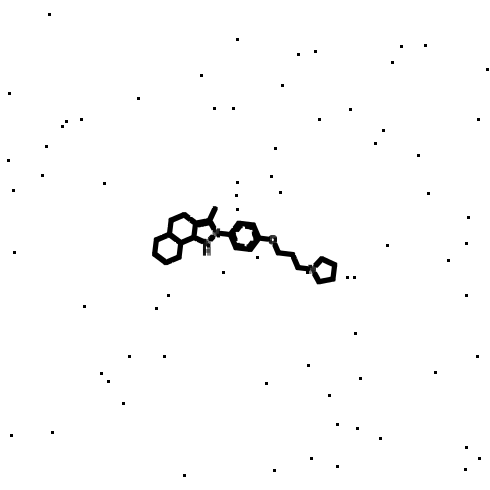 CC1=C2CCC3CCCCC3C2NN1c1ccc(OCCCN2CCCC2)cc1